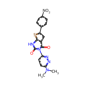 CN(C)c1ccc(-n2c(=O)[nH]c3sc(-c4ccc([N+](=O)[O-])cc4)cc3c2=O)nn1